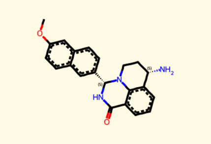 COc1ccc2cc([C@H]3NC(=O)c4cccc5c4N3CC[C@@H]5N)ccc2c1